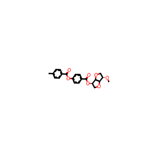 CO[C@H]1COC2C1OC[C@H]2OC(=O)c1ccc(OC(=O)c2ccc(C)cc2)cc1